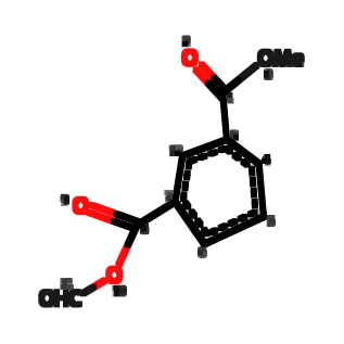 COC(=O)c1cccc(C(=O)OC=O)c1